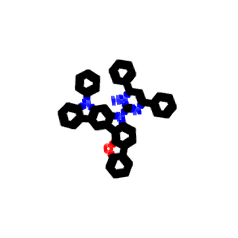 C1=C(c2ccccc2)N=C(n2c3cc4c(cc3c3c5oc6ccccc6c5ccc32)c2ccccc2n4-c2ccccc2)NC1c1ccccc1